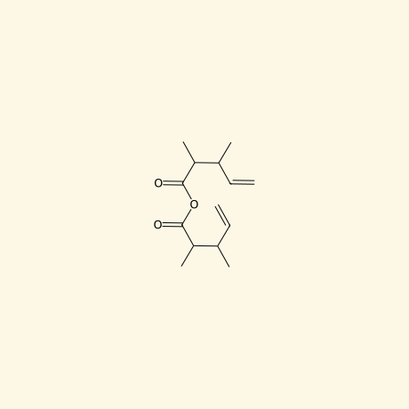 C=CC(C)C(C)C(=O)OC(=O)C(C)C(C)C=C